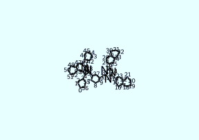 c1ccc(-c2c(-c3cccc(-c4nc(-c5ccc6ccccc6c5)nc(-c5ccc6ccccc6c5)n4)c3)nn3c(-c4ccccc4)cc4ccccc4c23)cc1